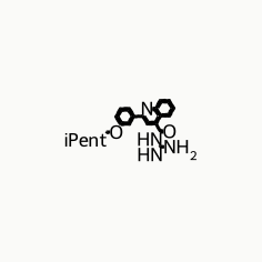 CCCC(C)COc1cccc(-c2cc(C(=O)NC(=N)N)c3ccccc3n2)c1